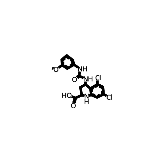 COc1cccc(NC(=O)NC2CC(C(=O)O)Nc3cc(Cl)cc(Cl)c32)c1